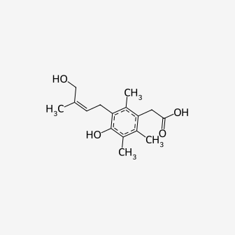 CC(=CCc1c(C)c(CC(=O)O)c(C)c(C)c1O)CO